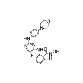 O=C(NO)c1ccccc1Nc1nc(Nc2ccc(N3CCOCC3)cc2)ncc1F